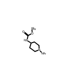 CCCN1CCC(NC(=O)OC(C)(C)C)CC1